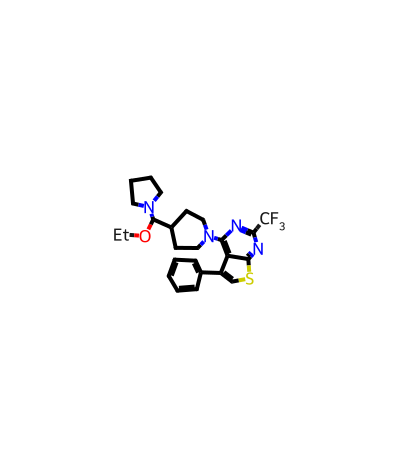 CCOC(C1CCN(c2nc(C(F)(F)F)nc3scc(-c4ccccc4)c23)CC1)N1CCCC1